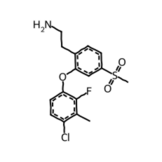 Cc1c(Cl)ccc(Oc2cc(S(C)(=O)=O)ccc2CCN)c1F